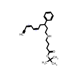 C#C/C=C\C=C/CC(CCNCCCC(=O)OC(C)(C)C)c1ccccc1